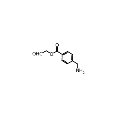 NCc1ccc(C(=O)OCC=O)cc1